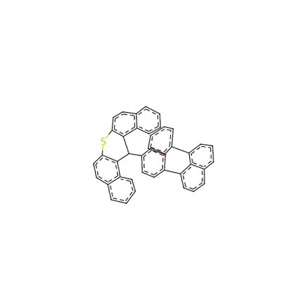 c1ccc(-c2cccc3cccc(-c4ccc(C5c6c(ccc7ccccc67)Sc6ccc7ccccc7c65)cc4)c23)cc1